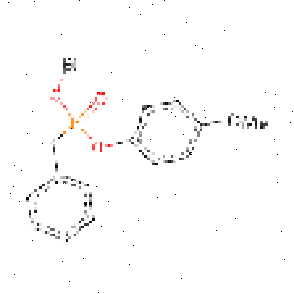 CCOP(=O)(Cc1ccccc1)Oc1ccc(OC)cc1